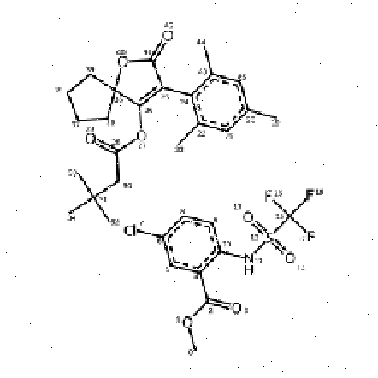 COC(=O)c1cc(Cl)ccc1NS(=O)(=O)C(F)(F)F.Cc1cc(C)c(C2=C(OC(=O)CC(C)(C)C)C3(CCCC3)OC2=O)c(C)c1